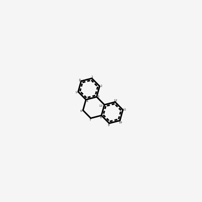 [c]1ccc2c(c1)CCc1ccccc1-2